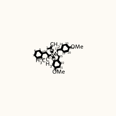 C=CC[C@@H](c1ccccc1C)C(C)S(=O)(=O)N(Cc1ccc(OC)cc1)Cc1ccc(OC)cc1